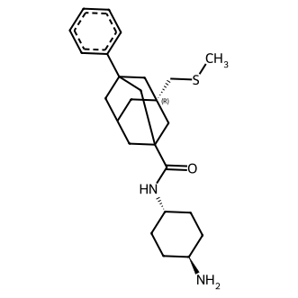 CSC[C@]12CC3CC(C(=O)N[C@H]4CC[C@H](N)CC4)(CC(c4ccccc4)(C3)C1)C2